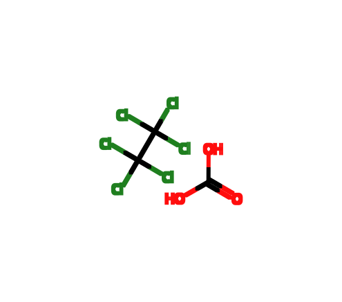 ClC(Cl)(Cl)C(Cl)(Cl)Cl.O=C(O)O